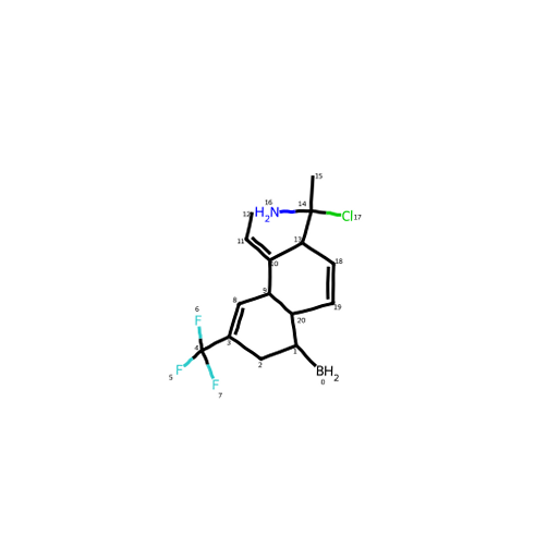 BC1CC(C(F)(F)F)=CC2/C(=C/C)C(C(C)(N)Cl)C=CC12